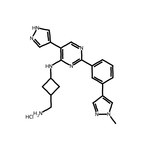 Cl.Cn1cc(-c2cccc(-c3ncc(-c4cn[nH]c4)c(NC4CC(CN)C4)n3)c2)cn1